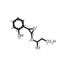 CCC(CC(=O)O)OC1OC1c1ccccc1O